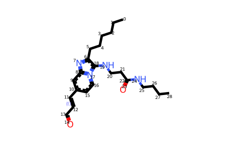 CCCCCCc1nc2cc(/C=C/C=O)ccn2c1NCCC(=O)NCCCC